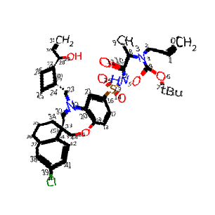 C=CCN(C(=O)OC(C)(C)C)C(C)C(=O)NS(=O)(=O)c1ccc2c(c1)N(C[C@@H]1CC[C@H]1C(O)C=C)C[C@@]1(CCCc3cc(Cl)ccc31)CO2